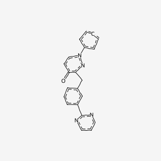 O=c1ccn(-c2ccccc2)nc1Cc1cccc(-c2ncccn2)c1